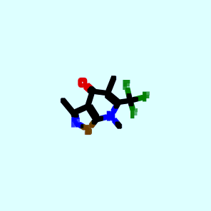 Cc1c(C(F)(F)F)n(C)c2snc(C)c2c1=O